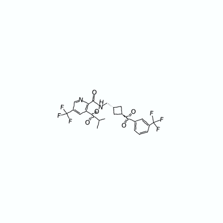 CC(C)S(=O)(=O)c1cc(C(F)(F)F)cnc1C(=O)NC[C@H]1C[C@H](S(=O)(=O)c2cccc(C(F)(F)F)c2)C1